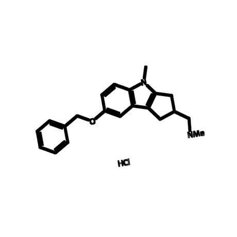 CNCC1Cc2c(n(C)c3ccc(OCc4ccccc4)cc23)C1.Cl